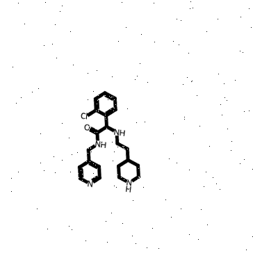 O=C(NCc1ccncc1)C(NCCC1CCNCC1)c1ccccc1Cl